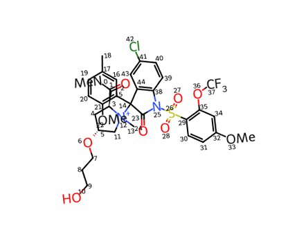 CNC(=O)[C@@H]1C[C@@H](OCCCO)C[N+]1(C)C1(c2cc(C)ccc2OC)C(=O)N(S(=O)(=O)c2ccc(OC)cc2OC(F)(F)F)c2ccc(Cl)cc21